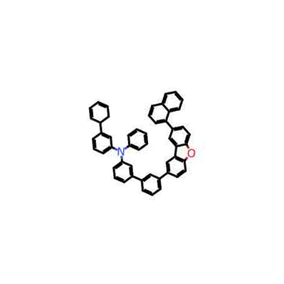 C1=CCC(c2cccc(N(c3ccccc3)c3cccc(-c4cccc(-c5ccc6oc7ccc(-c8cccc9ccccc89)cc7c6c5)c4)c3)c2)C=C1